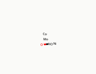 O=[NH+][O-].[Co].[Mn].[Ni]